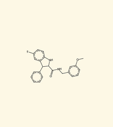 COc1cccc(CNC(=O)C2Nc3ccc(F)cc3C2c2ccccc2)c1